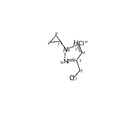 Cl.ClCc1ccn(C2CC2)n1